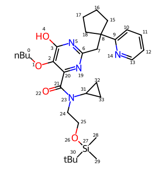 CCCCOc1c(O)nc(CC2(c3ccccn3)CCCC2)nc1C(=O)N(CCO[Si](C)(C)C(C)(C)C)C1CC1